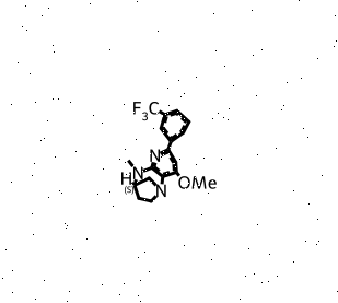 COc1cc(-c2cccc(C(F)(F)F)c2)nc2c1N1CC[C@@H](C1)N2C